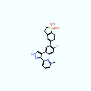 Cc1cccc(-c2n[nH]cc2-c2ccc(F)c(-c3ccc4c(c3)CCS4(O)O)c2)n1